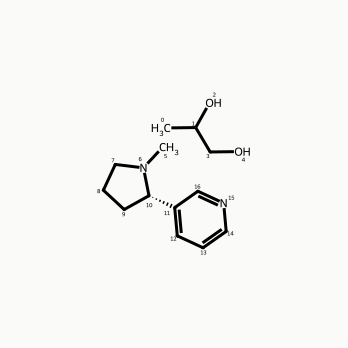 CC(O)CO.CN1CCC[C@H]1c1cccnc1